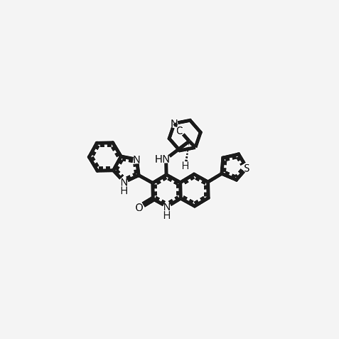 O=c1[nH]c2ccc(-c3ccsc3)cc2c(N[C@H]2CN3CCC2CC3)c1-c1nc2ccccc2[nH]1